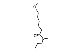 CCCN(C)C(=O)CCCCCOC